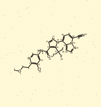 COCCc1ncc(NC(=O)c2cnn(-c3ccc(C#N)n4nccc34)c2C(F)(F)F)cc1Cl